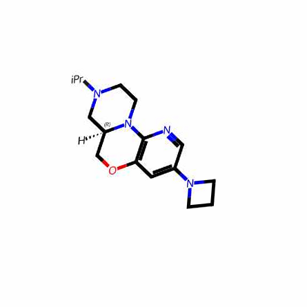 CC(C)N1CCN2c3ncc(N4CCC4)cc3OC[C@H]2C1